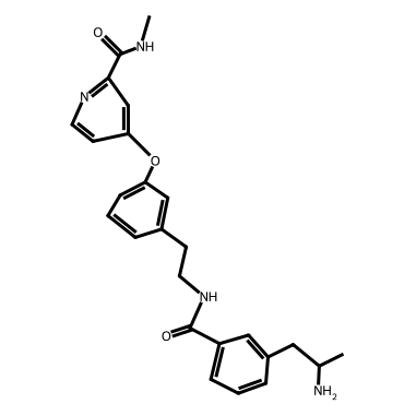 CNC(=O)c1cc(Oc2cccc(CCNC(=O)c3cccc(CC(C)N)c3)c2)ccn1